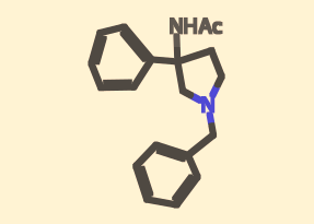 CC(=O)NC1(c2ccccc2)CCN(Cc2ccccc2)C1